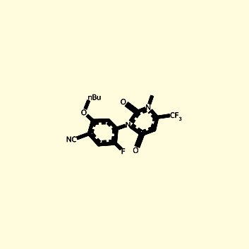 CCCCOc1cc(-n2c(=O)cc(C(F)(F)F)n(C)c2=O)c(F)cc1C#N